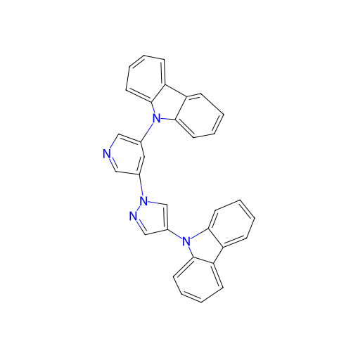 c1ccc2c(c1)c1ccccc1n2-c1cncc(-n2cc(-n3c4ccccc4c4ccccc43)cn2)c1